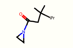 CC(C)C(C)(C)CC(=O)N1CC1